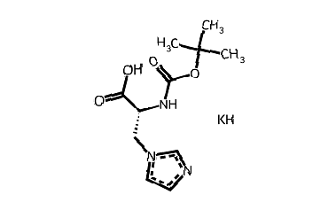 CC(C)(C)OC(=O)N[C@H](Cn1ccnc1)C(=O)O.[KH]